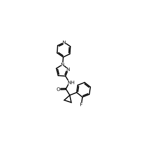 O=C(Nc1ccn(-c2ccncc2)n1)C1(c2ccccc2F)CC1